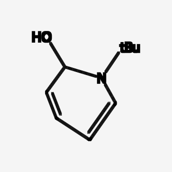 CC(C)(C)N1C=CC=CC1O